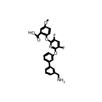 COc1ccc(Oc2nc(Oc3cccc(-c4cccc(CN)c4)c3)c(F)cc2F)c(C(=O)O)c1